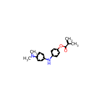 C=C(C)C(=O)Oc1ccc(Nc2ccc(N(C)C)cc2)cc1